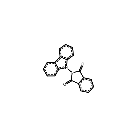 O=C1c2ccccc2C(=O)N1n1c2ccccc2c2ccccc21